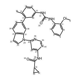 COc1ccccc1NC(=O)Nc1ccc(C)c(-c2ccc3ccn(-c4cc(NC(=O)C5CC5)ncn4)c3c2)c1